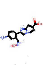 Nc1ccc(-c2cn3ccc(C(=O)O)cc3n2)c(/C=N\O)c1